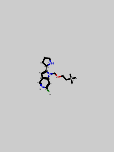 C[Si](C)(C)CCOCn1c([C@H]2CCCN2)cc2cnc(Cl)cc21